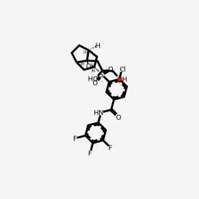 O=C(Nc1cc(F)c(F)c(F)c1)c1ccc(Cl)c(S(=O)(=O)[C@@H]2CC3CC[C@@H](C2)[C@@]3(O)CC(O)CO)c1